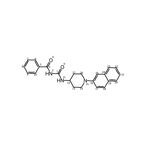 O=C(NC(=O)c1ccccc1)NC1CCN(c2ccc3ccccc3c2)CC1